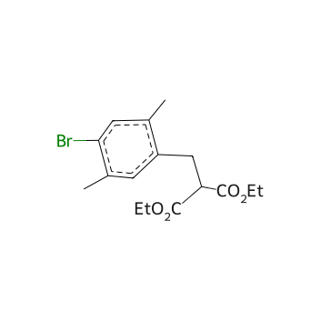 CCOC(=O)C(Cc1cc(C)c(Br)cc1C)C(=O)OCC